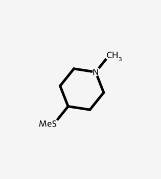 CSC1CCN(C)CC1